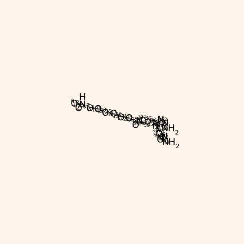 COCC(=O)NCCOCCOCCOCCOCCOCCOCCC(=O)N1CCc2cc(Cn3nc(-c4ccc5oc(N)nc5c4)c4c(N)ncnc43)ccc2C1